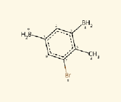 Bc1cc(B)c(C)c(Br)c1